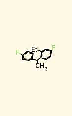 CCc1cc(F)ccc1C(C)c1ccc(F)cc1